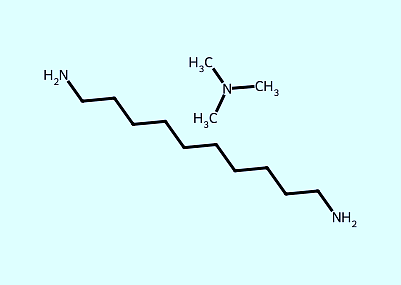 CN(C)C.NCCCCCCCCCCN